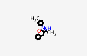 Cc1ccc(-n2[nH]c(C)c(Cc3ccccc3)c2=O)cc1